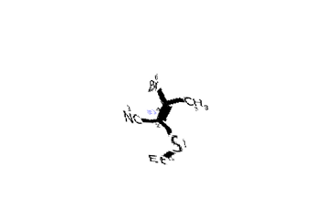 CCS/C(C#N)=C(\C)Br